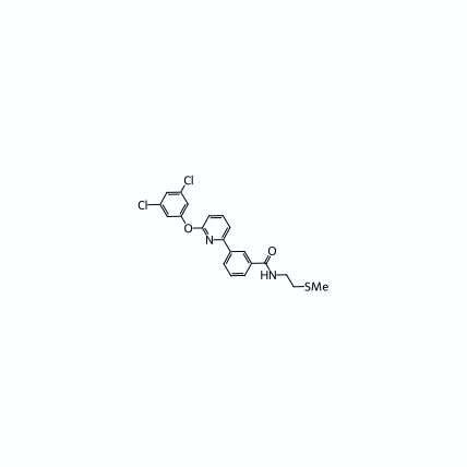 CSCCNC(=O)c1cccc(-c2cccc(Oc3cc(Cl)cc(Cl)c3)n2)c1